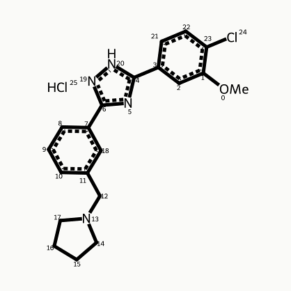 COc1cc(-c2nc(-c3cccc(CN4CCCC4)c3)n[nH]2)ccc1Cl.Cl